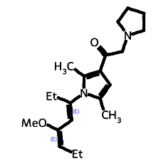 CC/C=C(\C=C(/CC)n1c(C)cc(C(=O)CN2CCCC2)c1C)OC